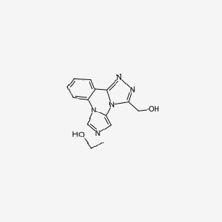 CCO.OCc1nnc2c3ccccc3n3cncc3n12